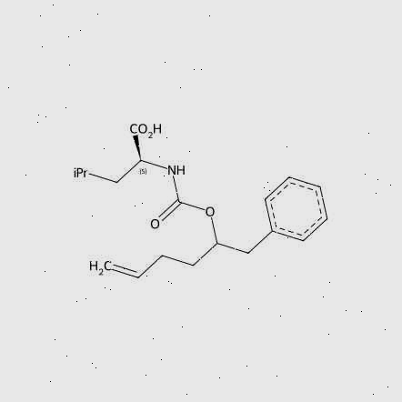 C=CCCC(Cc1ccccc1)OC(=O)N[C@@H](CC(C)C)C(=O)O